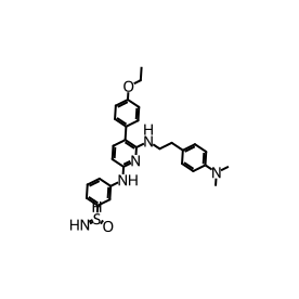 CCOc1ccc(-c2ccc(Nc3cccc([SH](=N)=O)c3)nc2NCCc2ccc(N(C)C)cc2)cc1